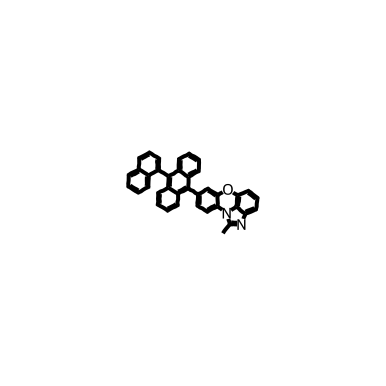 Cc1nc2cccc3c2n1-c1ccc(-c2c4ccccc4c(-c4cccc5ccccc45)c4ccccc24)cc1O3